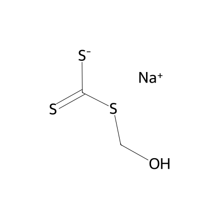 OCSC(=S)[S-].[Na+]